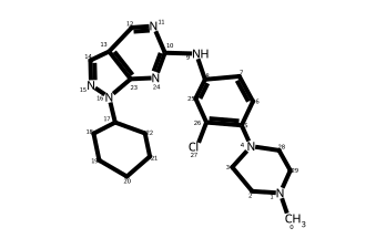 CN1CCN(c2ccc(Nc3ncc4cnn(C5CCCCC5)c4n3)cc2Cl)CC1